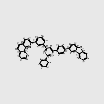 c1ccc(-c2nc(-c3ccc(-c4ccc5sc6ccccc6c5c4)cc3)cc(-c3cccc(-c4ccc5ccc6cccnc6c5n4)c3)n2)cc1